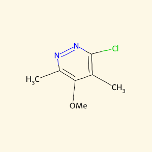 COc1c(C)nnc(Cl)c1C